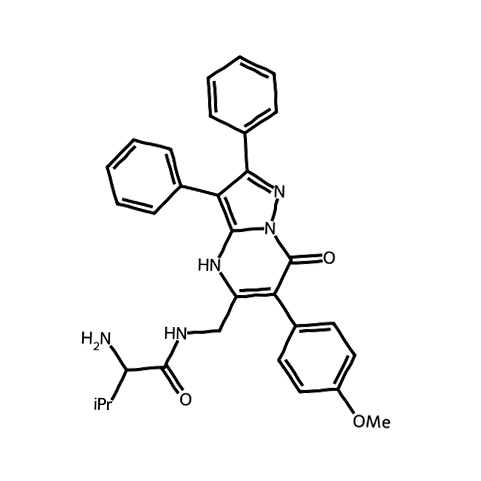 COc1ccc(-c2c(CNC(=O)C(N)C(C)C)[nH]c3c(-c4ccccc4)c(-c4ccccc4)nn3c2=O)cc1